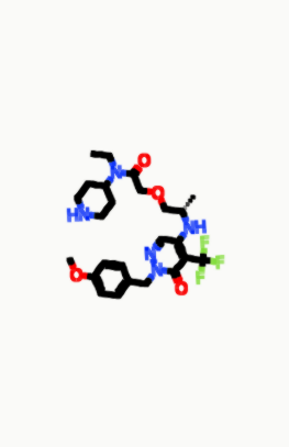 CCN(C(=O)COC[C@H](C)Nc1cnn(Cc2ccc(OC)cc2)c(=O)c1C(F)(F)F)C1CCNCC1